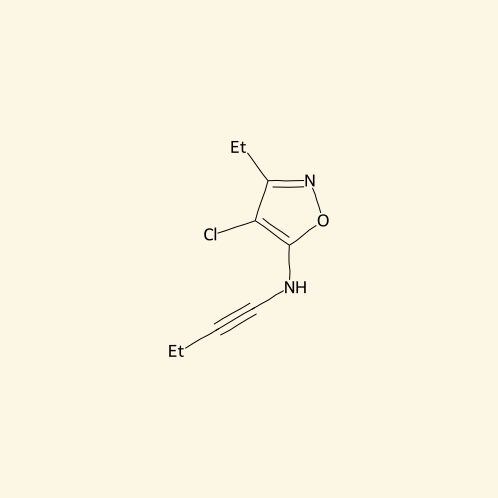 CCC#CNc1onc(CC)c1Cl